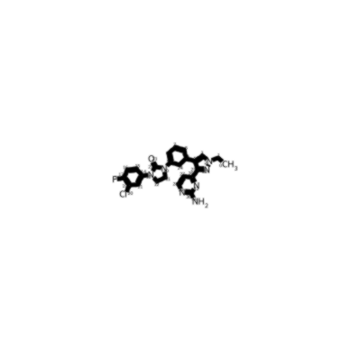 CCn1cc(C2C=CC=C(N3CCN(c4ccc(F)c(Cl)c4)C3=O)C2)c(-c2ccnc(N)n2)n1